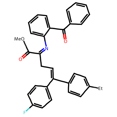 CCc1ccc(C(=CCC(=Nc2ccccc2C(=O)c2ccccc2)C(=O)OC)c2ccc(F)cc2)cc1